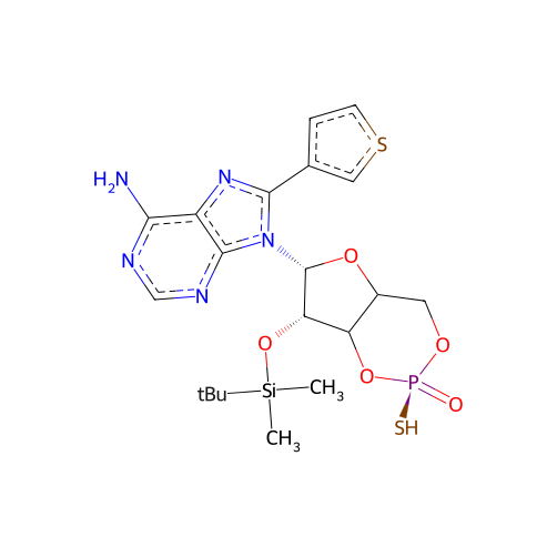 CC(C)(C)[Si](C)(C)O[C@H]1C2O[P@](=O)(S)OCC2O[C@H]1n1c(-c2ccsc2)nc2c(N)ncnc21